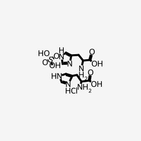 Cl.NC(Cc1c[nH]cn1)C(=O)O.NC(Cc1c[nH]cn1)C(=O)O.O=S(=O)(O)O